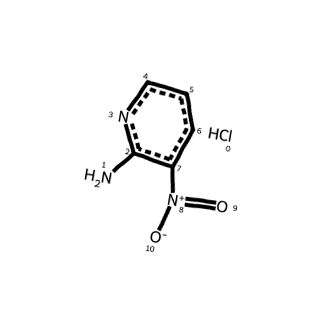 Cl.Nc1ncccc1[N+](=O)[O-]